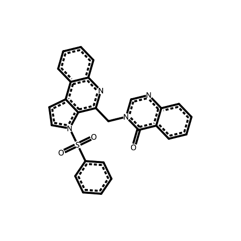 O=c1c2ccccc2ncn1Cc1nc2ccccc2c2ccn(S(=O)(=O)c3ccccc3)c12